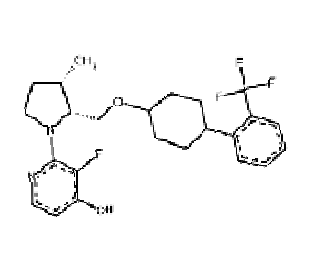 C[C@H]1CCN(c2nccc(O)c2F)[C@H]1COC1CCC(c2ccccc2C(F)(F)F)CC1